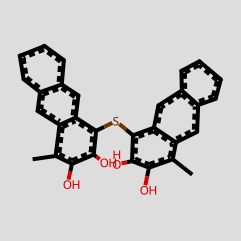 Cc1c(O)c(O)c(Sc2c(O)c(O)c(C)c3cc4ccccc4cc23)c2cc3ccccc3cc12